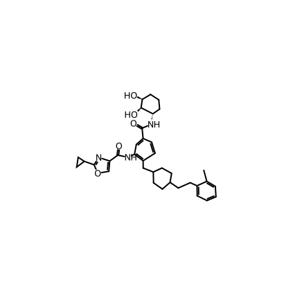 Cc1ccccc1CCC1CCC(Cc2ccc(C(=O)N[C@H]3CCC[C@H](O)[C@@H]3O)cc2NC(=O)c2coc(C3CC3)n2)CC1